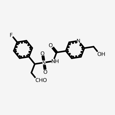 O=CCC(c1ccc(F)cc1)S(=O)(=O)NC(=O)c1ccc(CO)nc1